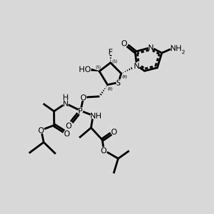 CC(C)OC(=O)C(C)NP(=O)(NC(C)C(=O)OC(C)C)OC[C@H]1S[C@@H](n2ccc(N)nc2=O)[C@@H](F)[C@@H]1O